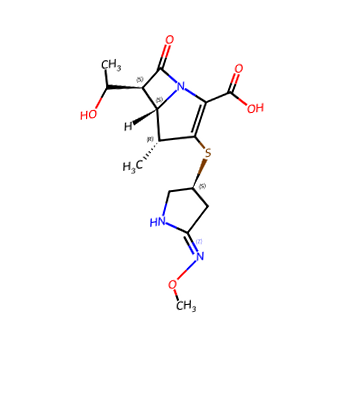 CO/N=C1/C[C@H](SC2=C(C(=O)O)N3C(=O)[C@H](C(C)O)[C@H]3[C@H]2C)CN1